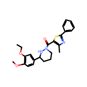 CCOc1cc(C2CCCN(C(=O)c3sc(-c4ccccc4)nc3C)N2)ccc1OC